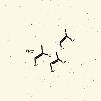 CC(=O)/C=C(/C)[O-].CC(=O)/C=C(/C)[O-].CC(=O)/C=C(/C)[O-].O.[Pr+3]